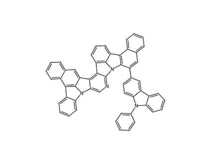 c1ccc(-n2c3ccccc3c3cc(-c4cc5ccccc5c5c6cccc7c8c9c%10cc%11ccccc%11c%11c%12ccccc%12n(c9cnc8n(c45)c76)c%10%11)ccc32)cc1